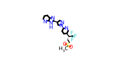 CS(=O)(=O)CC[C@H](c1ccc(-n2cc(-c3nc4cccnc4[nH]3)cn2)nc1)C(F)(F)F